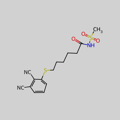 CS(=O)(=O)NC(=O)CCCCCSc1cccc(C#N)c1C#N